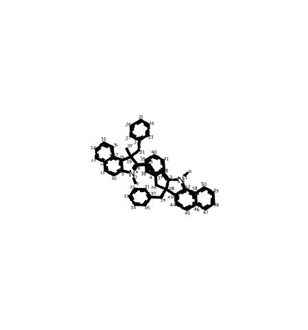 CN1/C(=C/C=C/C2=[N+](C)c3ccc4ccccc4c3C2(C)Cc2ccccc2)C(Cc2ccccc2)(Cc2ccccc2)c2ccc3ccccc3c21